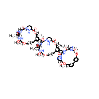 CC(C)[C@@H]1NC(=O)COc2ccc(cc2)-c2cccc(c2)[C@@H](C)OC(=O)[C@@H]2CCCN(N2)C(=O)[C@H](Cc2cc3cc(c2)[C@@H](C)OC(=O)[C@@H]2CCCN(N2)C(=O)[C@H](Cc2cc4cc(c2)[C@@H](C)OC(=O)[C@@H]2CCCN(N2)C(=O)[C@H](C)NC(=O)[C@H](C(C)C)NC(=O)[C@@H](C)Oc2ccc-4cc2)NC(=O)[C@H](C(C)C)NC(=O)[C@H](C)Oc2ccc-3cc2)NC1=O